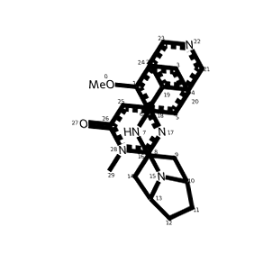 COc1ccccc1NC1CC2CCC(C1)N2c1nc(-c2ccncc2)cc(=O)n1C